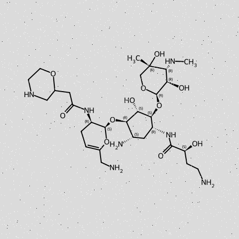 CN[C@@H]1[C@@H](O)[C@@H](O[C@@H]2[C@@H](O)[C@H](O[C@H]3OC(CN)=CC[C@H]3NC(=O)CC3CNCCO3)[C@@H](N)C[C@H]2NC(=O)[C@@H](O)CCN)OC[C@]1(C)O